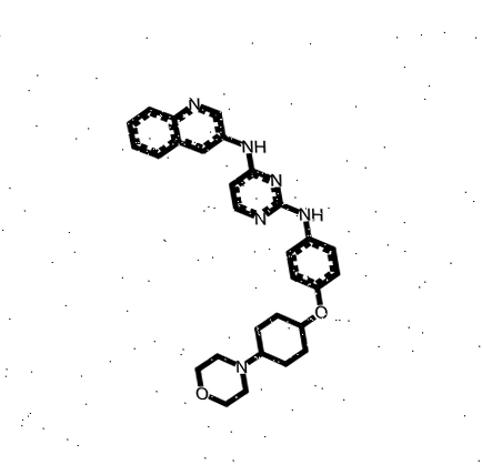 c1ccc2ncc(Nc3ccnc(Nc4ccc(OC5CCC(N6CCOCC6)CC5)cc4)n3)cc2c1